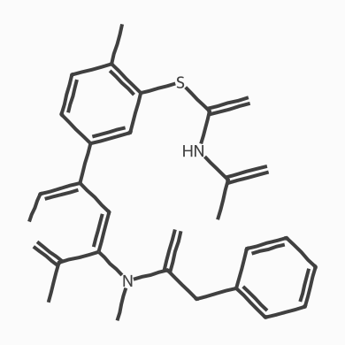 C=C(C)NC(=C)Sc1cc(C(=C/C)/C=C(\C(=C)C)N(C)C(=C)Cc2ccccc2)ccc1C